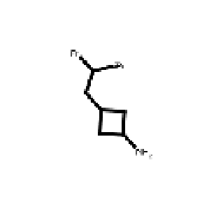 CCC(CC1CC(N)C1)C(C)C